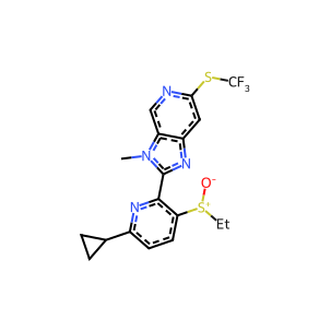 CC[S+]([O-])c1ccc(C2CC2)nc1-c1nc2cc(SC(F)(F)F)ncc2n1C